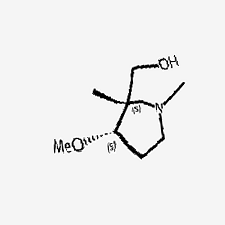 CO[C@H]1CCN(C)[C@@]1(C)CO